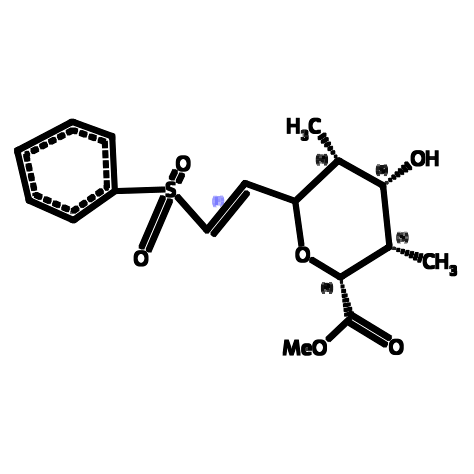 COC(=O)[C@@H]1OC(/C=C/S(=O)(=O)c2ccccc2)[C@H](C)[C@H](O)[C@@H]1C